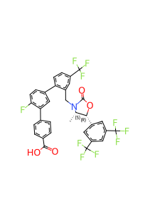 C[C@H]1[C@@H](c2cc(C(F)(F)F)cc(C(F)(F)F)c2)OC(=O)N1Cc1cc(C(F)(F)F)ccc1-c1ccc(F)c(-c2ccc(C(=O)O)cc2)c1